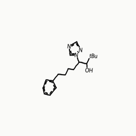 CC(C)(C)C(O)C(CCCCc1ccccc1)n1cncn1